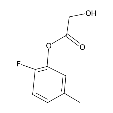 Cc1ccc(F)c(OC(=O)CO)c1